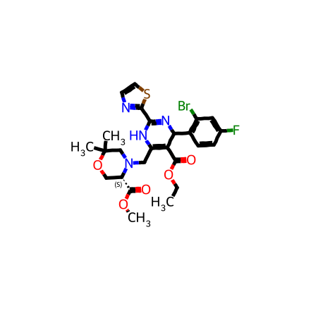 CCOC(=O)C1=C(CN2CC(C)(C)OC[C@H]2C(=O)OC)NC(c2nccs2)=NC1c1ccc(F)cc1Br